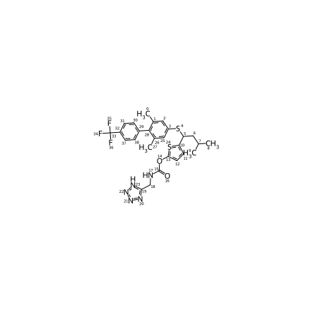 Cc1cc(SC(CC(C)C)c2ccc(OC(=O)NCc3nnn[nH]3)s2)cc(C)c1-c1ccc(C(F)(F)F)cc1